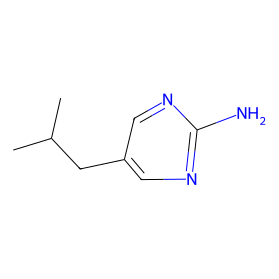 CC(C)Cc1cnc(N)nc1